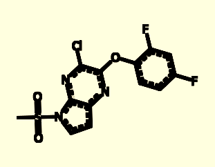 CS(=O)(=O)n1ccc2nc(Oc3ccc(F)cc3F)c(Cl)nc21